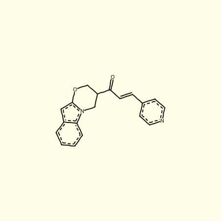 O=C(C=Cc1ccncc1)C1COc2cc3ccccc3n2C1